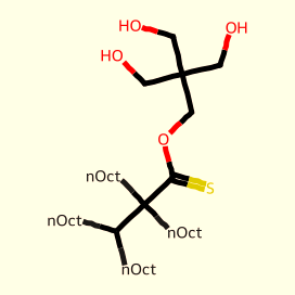 CCCCCCCCC(CCCCCCCC)C(CCCCCCCC)(CCCCCCCC)C(=S)OCC(CO)(CO)CO